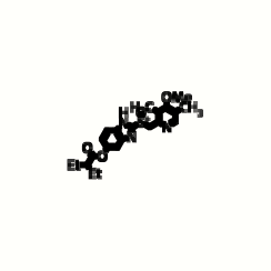 CCC(CC)C(=O)Oc1ccc2[nH]c([S+]([O-])Cc3ncc(C)c(OC)c3C)nc2c1